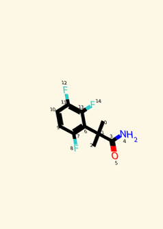 CC(C)(C(N)=O)c1c(F)ccc(F)c1F